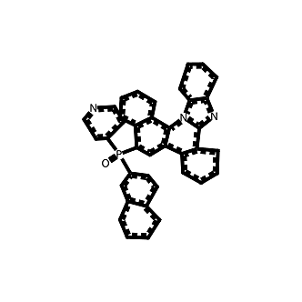 O=P(c1ccncc1)(c1ccc2ccccc2c1)c1cc2c3ccccc3c3nc4ccccc4n3c2c2ccccc12